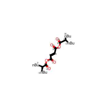 CCCCC(CCCC)C(=O)OC(=O)/C=C/C(=O)OC(=O)C(CCCC)CCCC